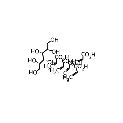 C=CC(=O)O.C=CC(=O)O.C=CC(=O)O.C=CC(=O)O.C=CC(=O)O.OC[C@@H](O)[C@@H](O)[C@H](O)[C@@H](O)CO